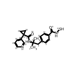 CC(C)(Cc1ccc(C(=O)NS)cc1)NC(=O)C1(c2cccnc2)CC1